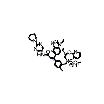 CC[C@@H]1CN(Cc2cc(/C(=C/C(=O)Nc3cnc(N4CCCCC4)nc3)c3ccc4c(nnn4CC)c3C)ccc2C)S(O)(O)c2cccnc2O1